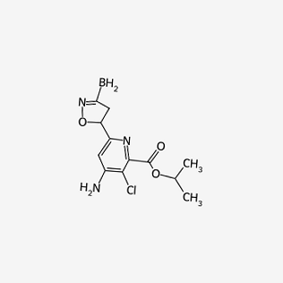 BC1=NOC(c2cc(N)c(Cl)c(C(=O)OC(C)C)n2)C1